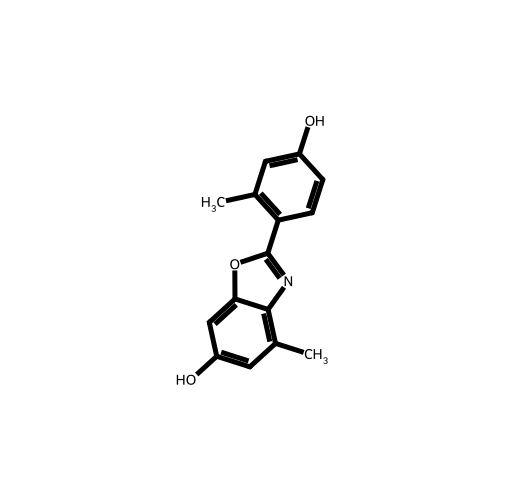 Cc1cc(O)ccc1-c1nc2c(C)cc(O)cc2o1